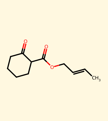 C/C=C/COC(=O)C1CCCCC1=O